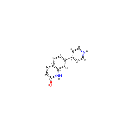 O=c1ccc2ccc(-c3ccncc3)cc2[nH]1